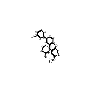 CCOc1cc2c(cn1)Oc1ccc(-c3cccc(F)c3)cc1[C@@]21COCC(N)=N1